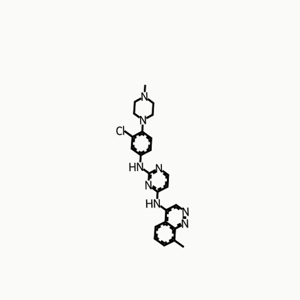 Cc1cccc2c(Nc3ccnc(Nc4ccc(N5CCN(C)CC5)c(Cl)c4)n3)cnnc12